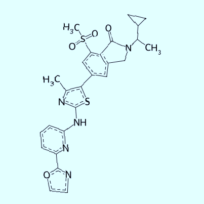 Cc1nc(Nc2cccc(-c3ncco3)n2)sc1-c1cc2c(c(S(C)(=O)=O)c1)C(=O)N(C(C)C1CC1)C2